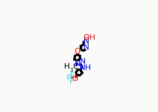 Cn1c(Nc2ccc(OC(F)(F)F)cc2)nc2cc(Oc3ccnc(/C=N/O)c3)ccc21